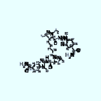 CCn1nc(C)c(CCCCCn2nc(C)cc2C(=O)Nc2nc3cc(C(N)=O)ccc3n2C)c1C(=O)Nc1nc2cc(C(N)=O)ccc2n1C